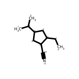 CCC1CC(C(C)C)CC1C#N